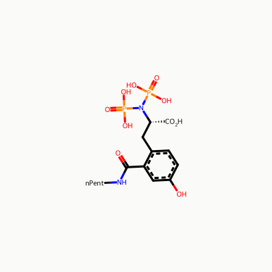 CCCCCNC(=O)c1cc(O)ccc1C[C@@H](C(=O)O)N(P(=O)(O)O)P(=O)(O)O